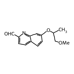 COCC(C)Oc1ccc2ccc(C=O)nc2c1